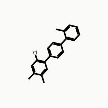 Cc1cc(Cl)c(-c2ccc(-c3ccccc3C)cc2)cc1C